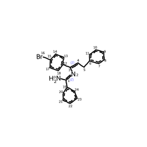 N/C(=N\C(=C/Cc1ccccc1)c1ccc(Br)cc1)c1ccccc1